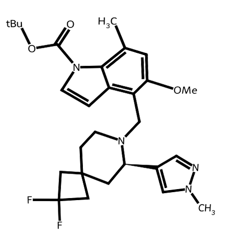 COc1cc(C)c2c(ccn2C(=O)OC(C)(C)C)c1CN1CCC2(C[C@@H]1c1cnn(C)c1)CC(F)(F)C2